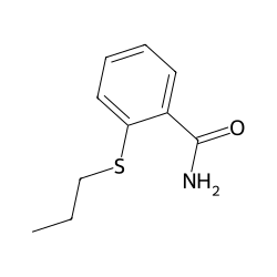 CCCSc1ccccc1C(N)=O